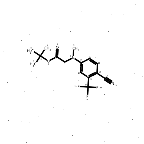 CN(CC(=O)OC(C)(C)C)c1ccc(C#N)c(C(F)(F)F)c1